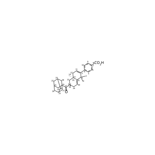 CC1(C)C(c2ccc(C(=O)O)cc2)=CC[C@]2(C)CN(C(=O)C34CC5CC(CC(C5)C3)C4)CC=C12